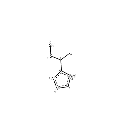 CC(SS)c1nnc[nH]1